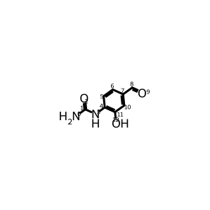 NC(=O)Nc1ccc(C=O)cc1O